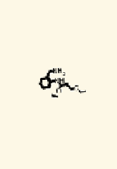 CC.CCOCCC(=O)Nc1ccccc1CN